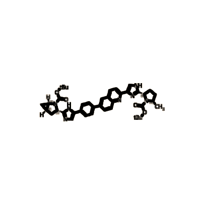 C[C@@H]1CC[C@@H](c2nc(-c3ccc4cc(-c5ccc(-c6cnc([C@@H]7C[C@H]8C[C@H]8N7C(=O)OC(C)(C)C)[nH]6)cc5)ccc4n3)c[nH]2)N1C(=O)OC(C)(C)C